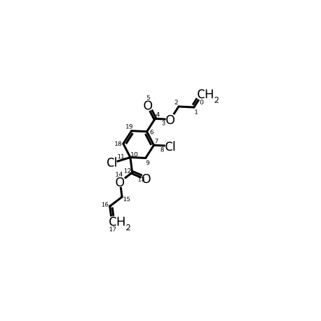 C=CCOC(=O)C1=C(Cl)CC(Cl)(C(=O)OCC=C)C=C1